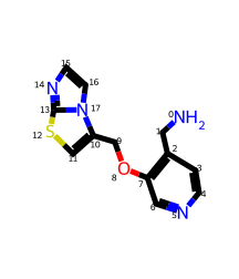 NCc1ccncc1OCc1csc2nccn12